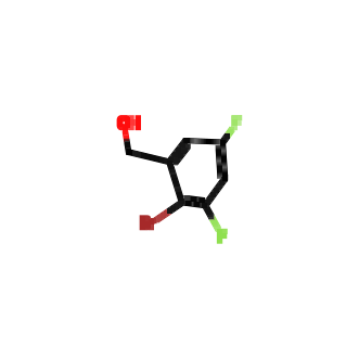 OCc1cc(F)cc(F)c1Br